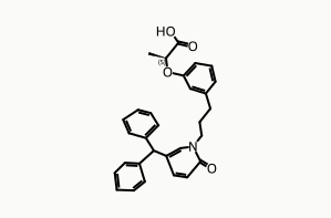 C[C@H](Oc1cccc(CCCn2cc(C(c3ccccc3)c3ccccc3)ccc2=O)c1)C(=O)O